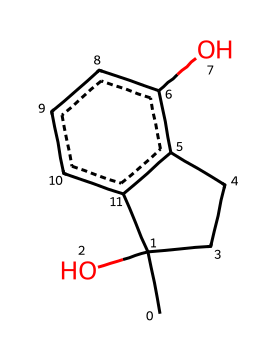 CC1(O)CCc2c(O)cccc21